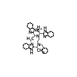 CC(c1nc2ccccc2[nH]1)N(CCN(C(C)c1nc2ccccc2[nH]1)C(C)c1nc2ccccc2[nH]1)Cc1ccccc1